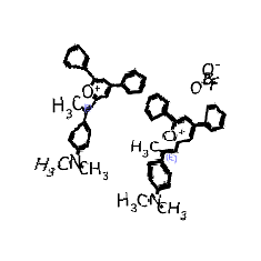 C/C(=C\c1cc(-c2ccccc2)cc(-c2ccccc2)[o+]1)c1ccc(N(C)C)cc1.C/C(=C\c1cc(-c2ccccc2)cc(-c2ccccc2)[o+]1)c1ccc(N(C)C)cc1.[O-]B([O-])F